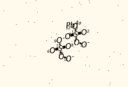 O=S(=O)([O-])O[O-].O=S(=O)([O-])O[O-].[Pb+4]